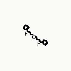 FC(CCCOCCCC(F)c1ccccc1)c1ccccc1